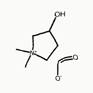 C[N+]1(C)CCC(O)C1.O=C[O-]